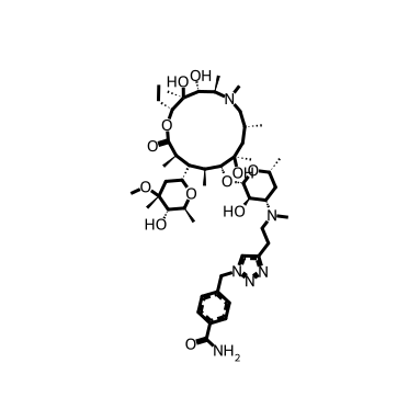 CC[C@H]1OC(=O)[C@H](C)C([C@H]2C[C@@](C)(OC)[C@@H](O)[C@H](C)O2)[C@H](C)[C@@H](O[C@@H]2O[C@H](C)C[C@H](N(C)CCc3cn(Cc4ccc(C(N)=O)cc4)nn3)[C@H]2O)[C@](C)(O)C[C@@H](C)CN(C)[C@H](C)[C@@H](O)[C@]1(C)O